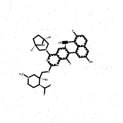 C#Cc1c(F)ccc2cc(O)cc(-c3c(F)cc4c(N5C[C@H]6CC[C@@H](C5)N6)nc(OC[C@]5(CC)CN(C)CC[C@@H]5C(F)F)nc4c3F)c12